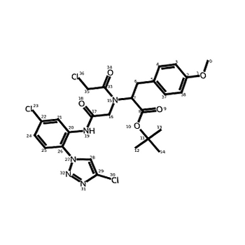 COc1ccc(CC(C(=O)OC(C)(C)C)N(CC(=O)Nc2cc(Cl)ccc2-n2cc(Cl)nn2)C(=O)CCl)cc1